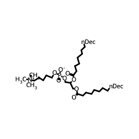 CCCCCCCCCCCCCCCCCC(=O)OCC(COP(=O)([O-])OCCCCC[N+](C)(C)C)OC(=O)CCCCCCCCCCCCCCCCC